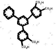 O=C(O)c1ccc(-c2cc(-c3ccccc3)cc(-c3ccc(C(=O)O)c(C(=O)O)c3)c2)cc1C(=O)O